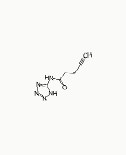 C#CCCC(=O)Nc1nnn[nH]1